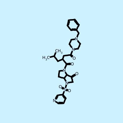 CC(C)CC(CC(=O)N1CCN(Cc2ccccc2)CC1)C(=O)N1CCC2C1C(=O)CN2S(=O)(=O)c1cccnc1